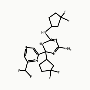 NC1=NC(c2cncc(C(F)F)n2)(C2CCC(F)(F)C2)NC(NC2CCC(F)(F)C2)=N1